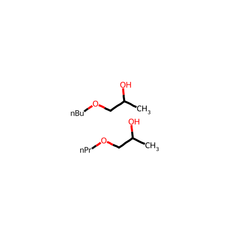 CCCCOCC(C)O.CCCOCC(C)O